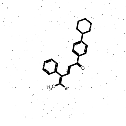 C/C(Br)=C(/C=C/C(=O)c1ccc(C2CCCCC2)cc1)c1ccccc1